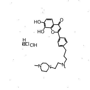 CN(CCCc1ccc(-c2cc(=O)c3ccc(O)c(O)c3o2)cc1)CCN1CCN(C)CC1.Cl.Cl.Cl